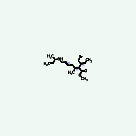 C=CC(C)NC/C=C/C/C(C)=C(C(=O)OC)\C(=C\C)CBr